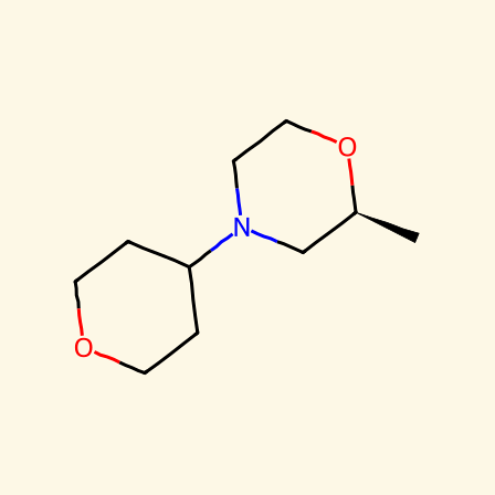 C[C@H]1CN(C2CCOCC2)CCO1